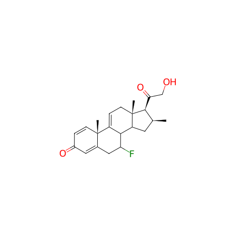 C[C@H]1CC2C3C(=CC[C@]2(C)[C@H]1C(=O)CO)[C@@]1(C)C=CC(=O)C=C1CC3F